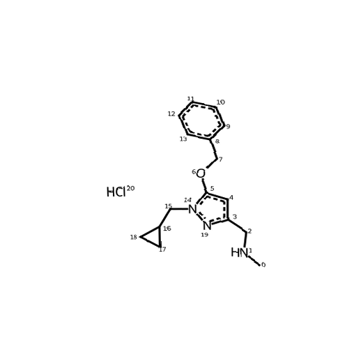 CNCc1cc(OCc2ccccc2)n(CC2CC2)n1.Cl